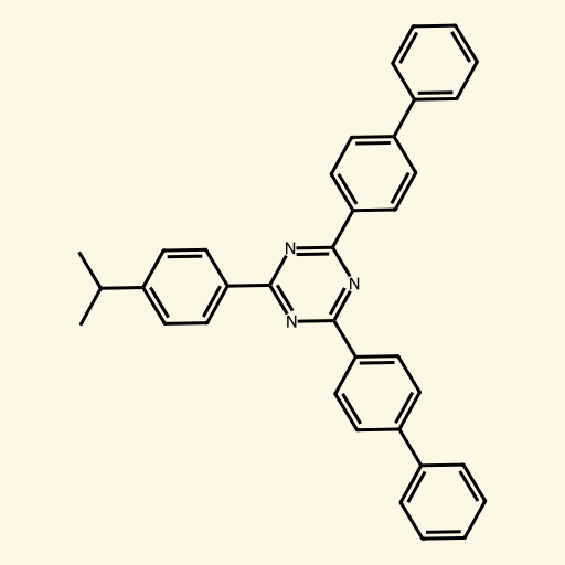 CC(C)c1ccc(-c2nc(-c3ccc(-c4ccccc4)cc3)nc(-c3ccc(-c4ccccc4)cc3)n2)cc1